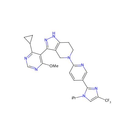 COc1ncnc(C2CC2)c1-c1n[nH]c2c1CN(c1ccc(-c3nc(C(F)(F)F)cn3C(C)C)cn1)CC2